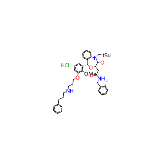 COc1c(OCCCNCCCc2ccccc2)cccc1[C@H]1O[C@H](CC(=O)NCc2ccccc2F)C(=O)N(CC(C)(C)C)c2ccccc21.Cl